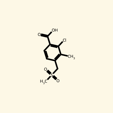 Cc1c(CS(C)(=O)=O)ccc(C(=O)O)c1Cl